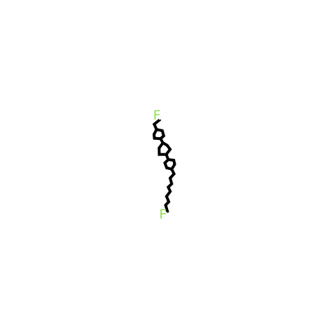 FCCCCCCCCCC1CCC(C2CCC(C3CCC(CCF)CC3)CC2)CC1